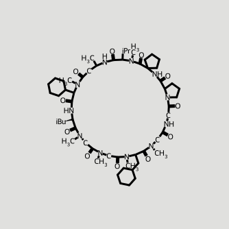 CC[C@H](C)C1NC(=O)C(C2CCCCC2)N(C)C(=O)CC(C)NC(=O)C(C(C)C)N(C)C(=O)C2(CCCC2)NC(=O)C2CCCN2C(=O)CNC(=O)CN(C)C(=O)C(CC2CCCCC2)N(C)C(=O)CN(C)C(=O)CN(C)C1=O